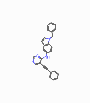 C(#Cc1cncnc1Nc1ccc2c(ccn2Cc2ccccc2)c1)c1ccccc1